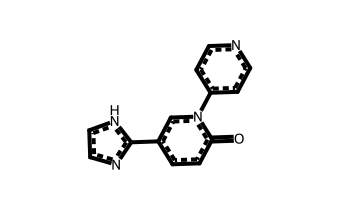 O=c1ccc(-c2ncc[nH]2)cn1-c1ccncc1